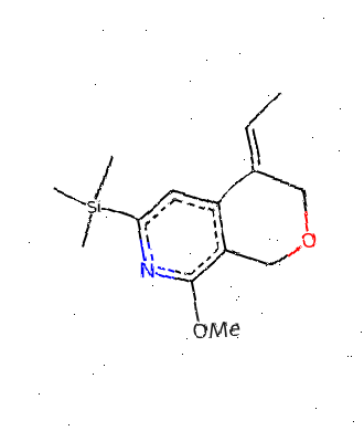 CC=C1COCc2c1cc([Si](C)(C)C)nc2OC